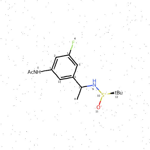 CC(=O)Nc1cc(F)cc(C(C)N[S@+]([O-])C(C)(C)C)c1